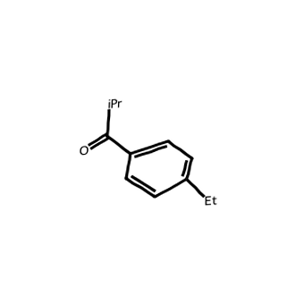 CCc1ccc(C(=O)C(C)C)cc1